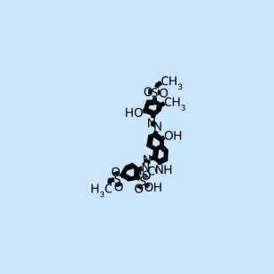 CCS(=O)(=O)c1ccc(/N=N/c2c(NC)ccc3c(O)c(/N=N/c4cc(C)c(S(=O)(=O)CC)cc4O)ccc23)c(S(=O)(=O)O)c1